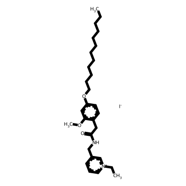 CCCCCCCCCCCCOc1ccc(CC(=O)NCc2ccc[n+](CC)c2)c(OC)c1.[I-]